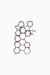 CC1(C)c2ccccc2-c2ccc(-c3ccccc3N(c3ccccc3-c3cccc4cccc(C5CCCCC5)c34)c3ccccc3-c3cccc4sc5ccccc5c34)cc21